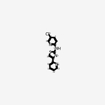 Clc1ccc(Nc2nc(-c3ccccn3)cs2)nc1